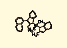 CC1=Cc2ccccc2C1[Si](C)(C)C1C(C)=C(c2cccc3ccccc23)c2ccccc21